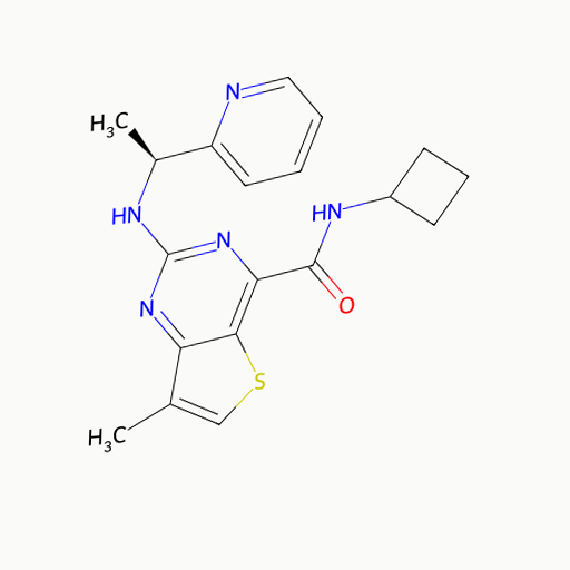 Cc1csc2c(C(=O)NC3CCC3)nc(N[C@@H](C)c3ccccn3)nc12